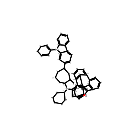 CC1CC(c2ccc3c4ccccc4n(C4=CCCC=C4)c3c2)CCCC1N(C1=CC2=C(C=CC1)c1cccc3c1C1=C(CCC=C1)c1cccc-3c12)C1CCCCC1